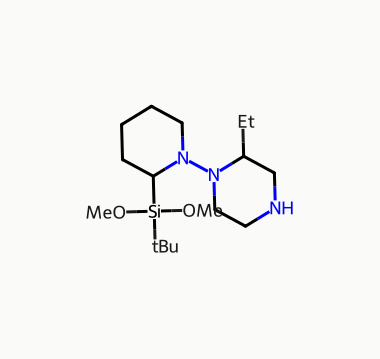 CCC1CNCCN1N1CCCCC1[Si](OC)(OC)C(C)(C)C